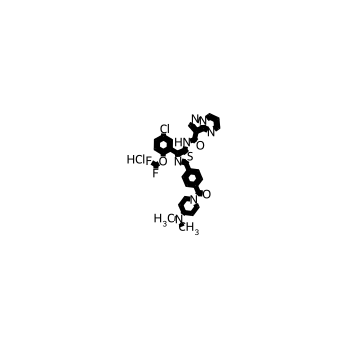 CN(C)C1CCN(C(=O)c2ccc(-c3nc(-c4cc(Cl)ccc4OC(F)F)c(NC(=O)c4cnn5cccnc45)s3)cc2)CC1.Cl